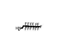 CNCCC(F)(F)C(F)(F)C(F)(F)C(F)(F)C(F)(F)C(F)(F)F